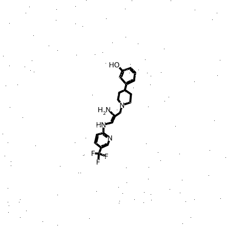 N/C(=C\Nc1ccc(C(F)(F)F)cn1)CN1CCC(c2cccc(O)c2)CC1